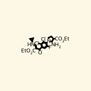 CCOC(=O)C(=CNC1CC1)C(=O)c1cc(F)c(N2CCC(C(=O)OCC)C2N)c(Cl)c1Cl